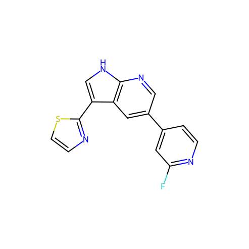 Fc1cc(-c2cnc3[nH]cc(-c4nccs4)c3c2)ccn1